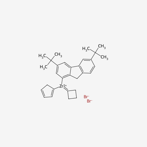 CC(C)(C)c1ccc2c(c1)-c1cc(C(C)(C)C)c[c]([Zr+2]([C]3=CC=CC3)=[C]3CCC3)c1C2.[Br-].[Br-]